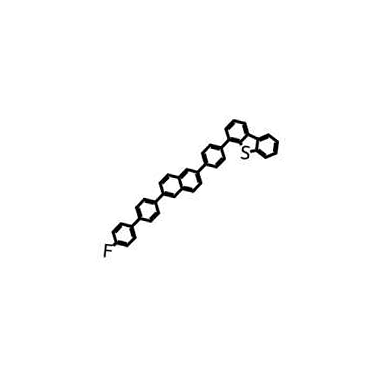 Fc1ccc(-c2ccc(-c3ccc4cc(-c5ccc(-c6cccc7c6sc6ccccc67)cc5)ccc4c3)cc2)cc1